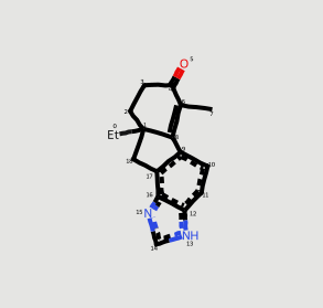 CCC12CCC(=O)C(C)=C1c1ccc3[nH]cnc3c1C2